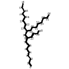 CCCCCCCCC([CH]C(CCCCCCCC)CCCCCCCC)CCCC